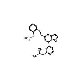 N[C@@H](O)Cc1cc(-c2cc(COc3ccccc3CC(=O)O)cc3ccoc23)ccn1